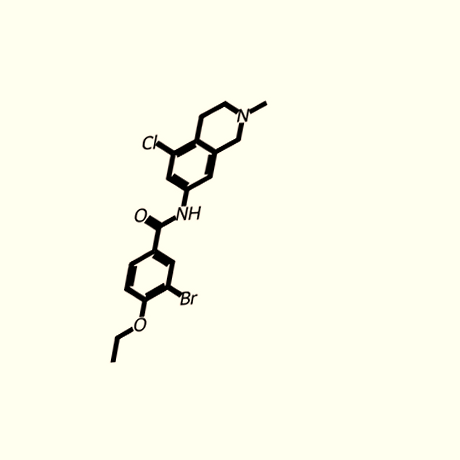 CCOc1ccc(C(=O)Nc2cc(Cl)c3c(c2)CN(C)CC3)cc1Br